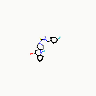 CN(Cc1ccc(F)cc1)C(=S)N1CCC2(CC1)CC(O)c1ccccc1N2F